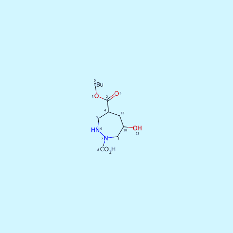 CC(C)(C)OC(=O)C1CNN(C(=O)O)CC(O)C1